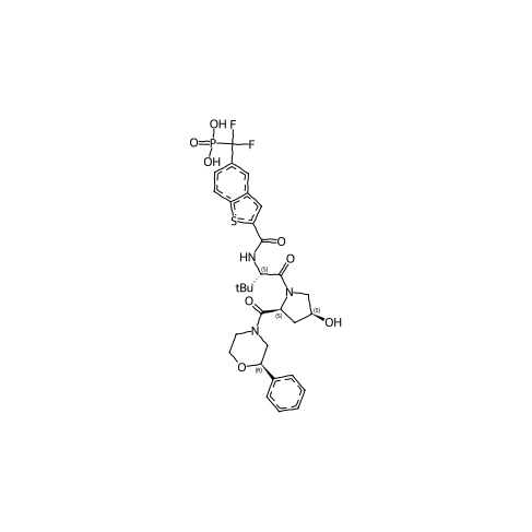 CC(C)(C)[C@H](NC(=O)c1cc2cc(C(F)(F)P(=O)(O)O)ccc2s1)C(=O)N1C[C@@H](O)C[C@H]1C(=O)N1CCO[C@H](c2ccccc2)C1